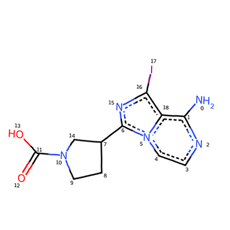 Nc1nccn2c(C3CCN(C(=O)O)C3)nc(I)c12